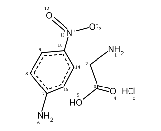 Cl.NCC(=O)O.Nc1ccc([N+](=O)[O-])cc1